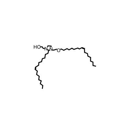 CCCCCCCC/C=C\CCCCCCCCOCCN1CCN(CCO)C1CCCCCCC/C=C\CCCCCCCC